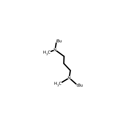 CCC(C)N(C)CCCN(C)C(C)(C)C